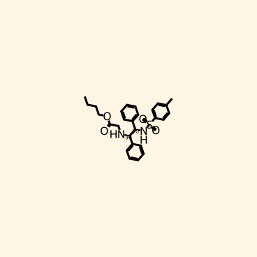 CCCCOC(=O)CN[C@H](c1ccccc1)[C@H](NS(=O)(=O)c1ccc(C)cc1)c1ccccc1